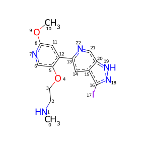 CNCCOc1cnc(OC)cc1-c1cc2c(I)n[nH]c2cn1